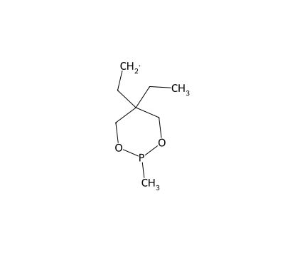 [CH2]CC1(CC)COP(C)OC1